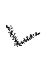 O.O.O=[Si]([O-])[O-].O=[Si]([O-])[O-].O=[Si]([O-])[O-].O=[Si]([O-])[O-].O=[Si]([O-])[O-].O=[Si]([O-])[O-].O=[Si]([O-])[O-].O=[Si]([O-])[O-].O=[Si]([O-])[O-].[Al+3].[Al+3].[Ba+2].[Ba+2].[Ca+2].[Ca+2].[Sr+2].[Sr+2]